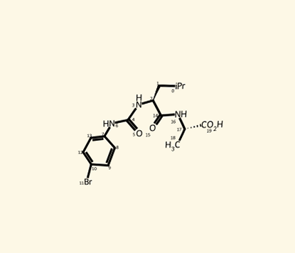 CC(C)C[C@H](NC(=O)Nc1ccc(Br)cc1)C(=O)N[C@@H](C)C(=O)O